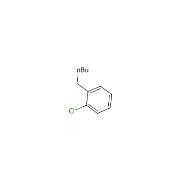 CC[CH]CCc1ccccc1Cl